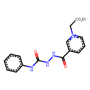 CCOC(=O)C[n+]1cccc(C(=O)NNC(=O)Nc2ccccc2)c1